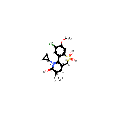 CCC(C)Oc1cc2c(cc1Cl)-c1c(cc(C(=O)O)c(=O)n1C1CC1)CS2(=O)=O